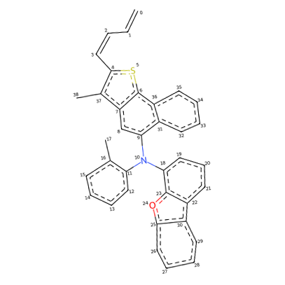 C=C/C=C\c1sc2c(cc(N(c3ccccc3C)c3cccc4c3oc3ccccc34)c3ccccc32)c1C